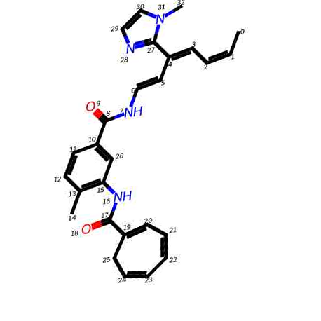 C\C=C/C=C(\C=C\NC(=O)c1ccc(C)c(NC(=O)C2=CC=CC=CC2)c1)c1nccn1C